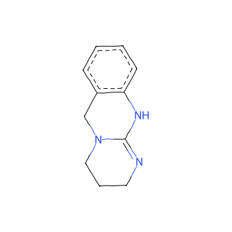 c1ccc2c(c1)CN1CCCN=C1N2